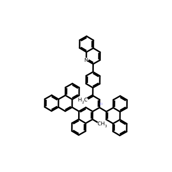 C=C(/C=C(\c1cc(-c2cc3ccccc3c3ccccc23)c2ccccc2c1C)c1cc2ccccc2c2ccccc12)c1ccc(-c2ccc3ccccc3n2)cc1